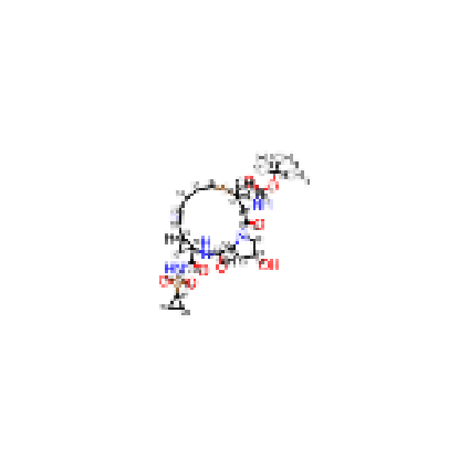 CC(C)(C)OC(=O)N[C@@H]1C(=O)N2C[C@H](O)C[C@H]2C(=O)N[C@]2(C(=O)NS(=O)(=O)C3CC3)C[C@H]2/C=C\CCCSC1(C)C